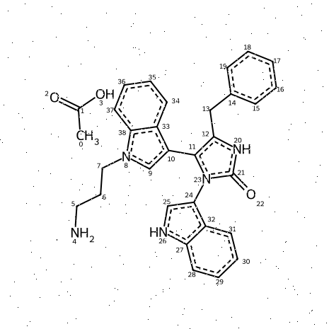 CC(=O)O.NCCCn1cc(-c2c(Cc3ccccc3)[nH]c(=O)n2-c2c[nH]c3ccccc23)c2ccccc21